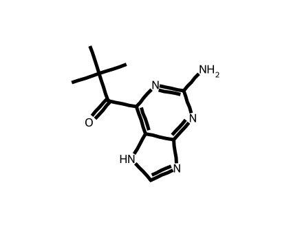 CC(C)(C)C(=O)c1nc(N)nc2nc[nH]c12